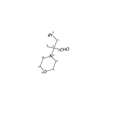 CC(C)CC(C)(C=O)N1CCOCC1